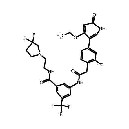 CCOc1cc(=O)[nH]cc1-c1ccc(CC(=O)Nc2cc(C(=O)NCCN3CCC(F)(F)C3)cc(C(F)(F)F)c2)c(F)c1